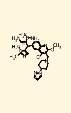 COc1nc2ccc(C(/C(=C/N)N(C)N)c3cnc(C)n3C)cc2c(Cl)c1CN1CCC(n2cccn2)CC1